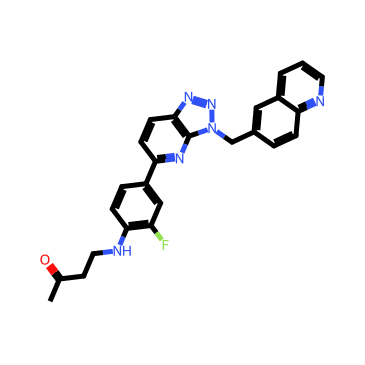 CC(=O)CCNc1ccc(-c2ccc3nnn(Cc4ccc5ncccc5c4)c3n2)cc1F